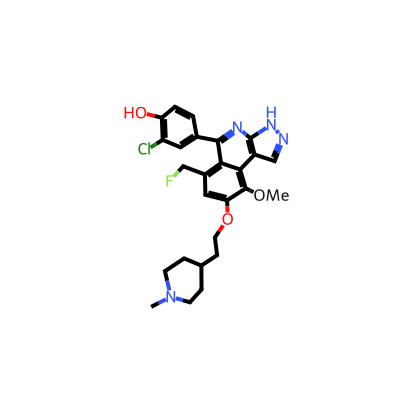 COc1c(OCCC2CCN(C)CC2)cc(CF)c2c(-c3ccc(O)c(Cl)c3)nc3[nH]ncc3c12